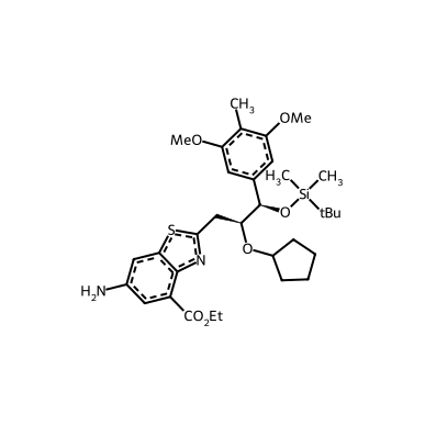 CCOC(=O)c1cc(N)cc2sc(C[C@H](OC3CCCC3)[C@H](O[Si](C)(C)C(C)(C)C)c3cc(OC)c(C)c(OC)c3)nc12